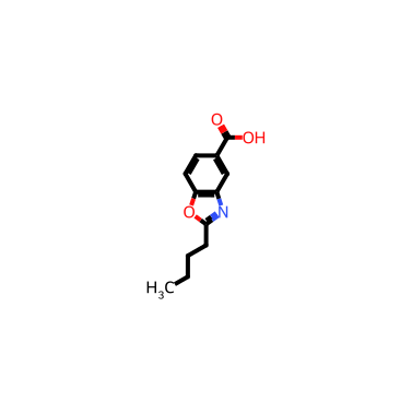 CCCCc1nc2cc(C(=O)O)ccc2o1